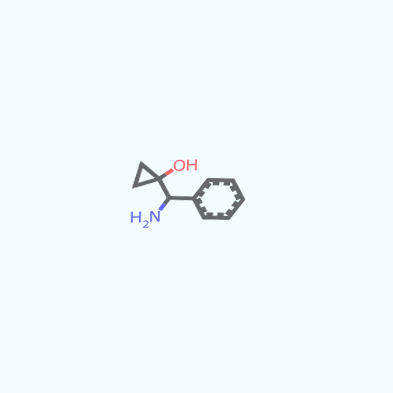 NC(c1ccccc1)C1(O)CC1